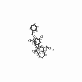 C=C[C@@H]1CN(CCCOCc2ccccc2)C(=O)[C@@H]2CCC[C@H]1N2S(=O)(=O)c1cc(Cl)cc(Cl)c1